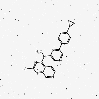 CN(c1cncc(-c2ccc(C3CC3)cc2)n1)c1nc(Cl)nc2cnccc12